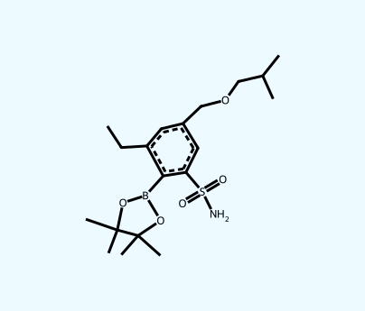 CCc1cc(COCC(C)C)cc(S(N)(=O)=O)c1B1OC(C)(C)C(C)(C)O1